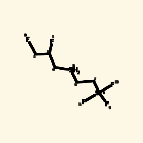 FCC(F)C[SiH2]CC[Si](F)(F)F